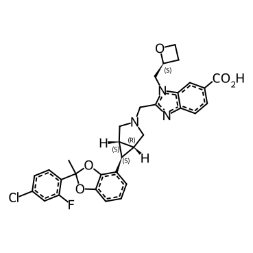 CC1(c2ccc(Cl)cc2F)Oc2cccc([C@H]3[C@@H]4CN(Cc5nc6ccc(C(=O)O)cc6n5C[C@@H]5CCO5)C[C@@H]43)c2O1